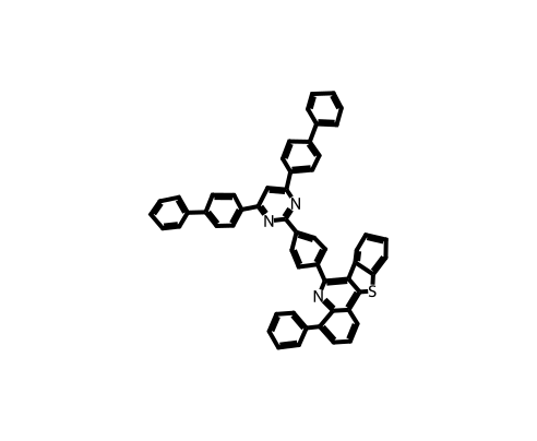 c1ccc(-c2ccc(-c3cc(-c4ccc(-c5ccccc5)cc4)nc(-c4ccc(-c5nc6c(-c7ccccc7)cccc6c6sc7ccccc7c56)cc4)n3)cc2)cc1